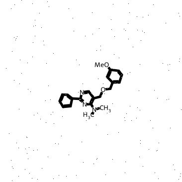 COc1cccc(COCc2cnc(-c3ccccc3)nc2N(C)C)c1